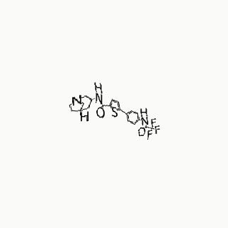 O=C(N[C@@H]1C[C@H]2CCN(C2)C1)c1ccc(-c2ccc(NC(=O)C(F)(F)F)cc2)s1